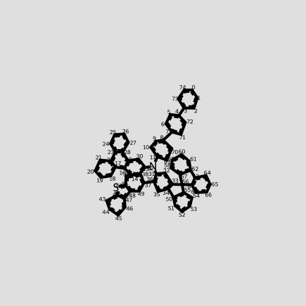 c1ccc(-c2ccc(-c3ccc(N(c4ccc5c6ccccc6c6ccccc6c5c4)c4cc5c(cc4-c4ccc6sc7ccccc7c6c4)-c4ccccc4C54c5ccccc5-c5ccccc54)cc3)cc2)cc1